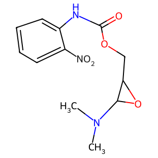 CN(C)C1OC1COC(=O)Nc1ccccc1[N+](=O)[O-]